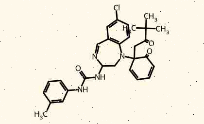 Cc1cccc(NC(=O)NC2CN(C3(CC(=O)C(C)(C)C)C=CC=CC3=O)c3ccc(Cl)cc3C=N2)c1